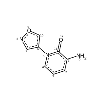 Nc1cccn(-c2cnoc2)c1=O